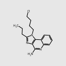 CCCc1nc2c(N)nc3ccccc3c2n1CCCCCl